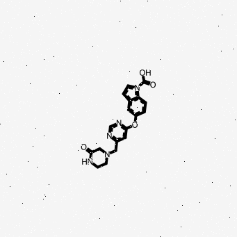 O=C1CN(Cc2cc(Oc3ccc4c(ccn4C(=O)O)c3)ncn2)CCN1